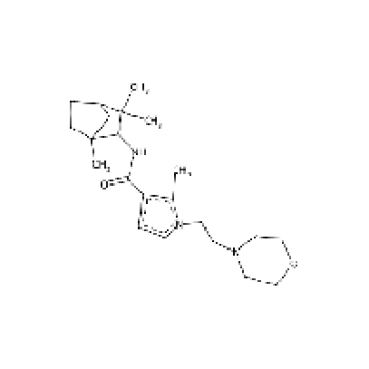 Cc1c(C(=O)NC2C3(C)CCC(C3)C2(C)C)ccn1CCN1CCOCC1